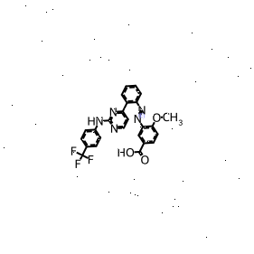 COc1ccc(C(=O)O)cc1/N=N/c1ccccc1-c1ccnc(Nc2ccc(C(F)(F)F)cc2)n1